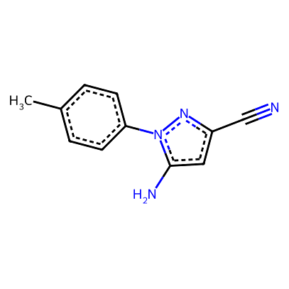 Cc1ccc(-n2nc(C#N)cc2N)cc1